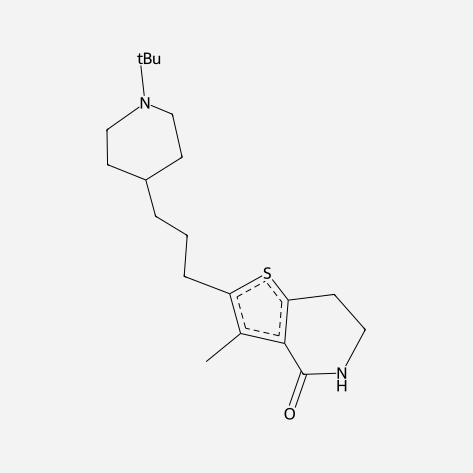 Cc1c(CCCC2CCN(C(C)(C)C)CC2)sc2c1C(=O)NCC2